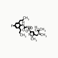 CCCc1cc(F)cc(CCC)c1NC(=O)NS(=O)(=O)c1cc(CN(C)C(C)C)n(C)n1